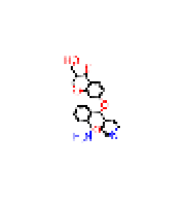 NC(=O)c1ccccc1[C@H](Oc1ccc2c(c1)OCC(CO)C2=O)c1ccncc1